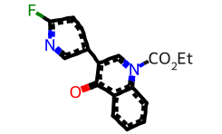 CCOC(=O)n1cc(-c2ccc(F)nc2)c(=O)c2ccccc21